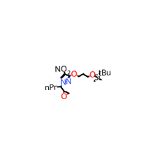 CCCC(C1CO1)n1cc([N+](=O)[O-])c(OCCCO[Si](C)(C)C(C)(C)C)n1